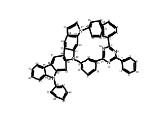 c1ccc(-c2nc(-c3ccccc3)nc(-c3cccc(-n4c5cc6c(ccn6-c6ccccc6)cc5c5cc6c7ccccc7n(-c7ccccc7)c6cc54)c3)n2)cc1